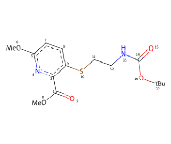 COC(=O)c1nc(OC)ccc1SCCNC(=O)OC(C)(C)C